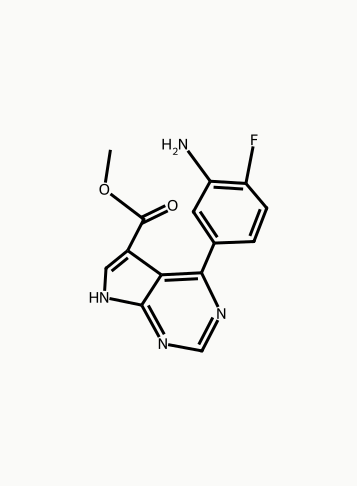 COC(=O)c1c[nH]c2ncnc(-c3ccc(F)c(N)c3)c12